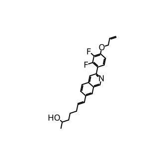 C=CCOc1ccc(-c2cc3ccc(/C=C/CCCC(C)O)cc3cn2)c(F)c1F